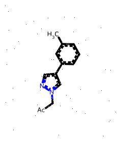 CC(=O)Cn1cc(-c2cccc(C)c2)cn1